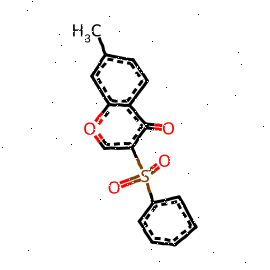 Cc1ccc2c(=O)c(S(=O)(=O)c3ccccc3)coc2c1